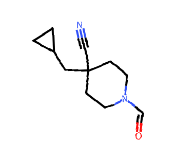 N#CC1(CC2CC2)CCN(C=O)CC1